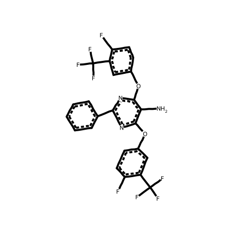 Nc1c(Oc2ccc(F)c(C(F)(F)F)c2)nc(-c2ccccc2)nc1Oc1ccc(F)c(C(F)(F)F)c1